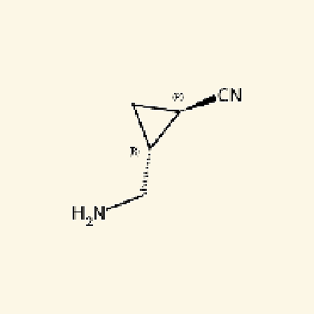 N#C[C@@H]1C[C@H]1CN